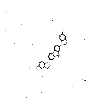 CC1(C)c2cc(N3CCc4cc(N)ccc43)ccc2-c2ccc(N3CCc4cc(N)ccc43)cc21